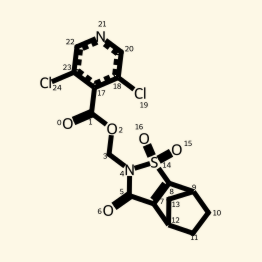 O=C(OCN1C(=O)C2=C(C3CCC2C3)S1(=O)=O)c1c(Cl)cncc1Cl